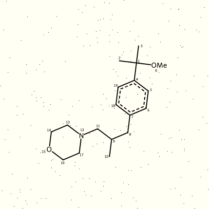 COC(C)(C)c1ccc(CC(C)CN2CCOCC2)cc1